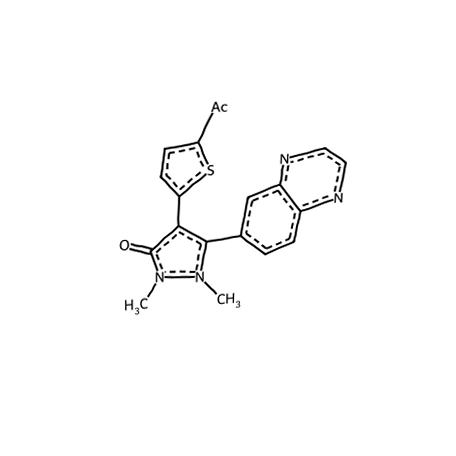 CC(=O)c1ccc(-c2c(-c3ccc4nccnc4c3)n(C)n(C)c2=O)s1